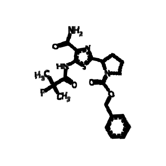 CC(C)(F)C(=O)Nc1sc(C2CCCN2C(=O)OCc2ccccc2)nc1C(N)=O